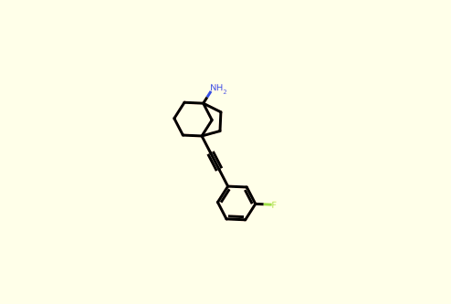 NC12CCCC(C#Cc3cccc(F)c3)(CC1)C2